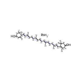 CC1=C[C@H](O)CC(C)(C)[C@H]1/C=C/C(C)=C/C=C/C(C)=C/C=C/C=C(C)/C=C/C=C(C)/C=C/C1=C(C)C[C@@H](O)CC1(C)C.[PbH2]